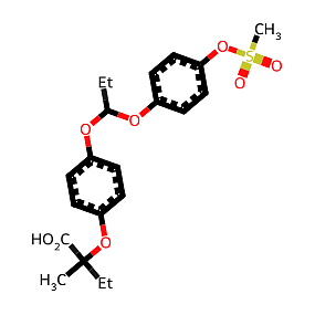 CCC(Oc1ccc(OC(C)(CC)C(=O)O)cc1)Oc1ccc(OS(C)(=O)=O)cc1